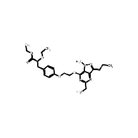 CCCc1nn(C)c2c(OCCOc3ccc(CC(OCC)C(=O)OCC)cc3)nc(CC)nc12